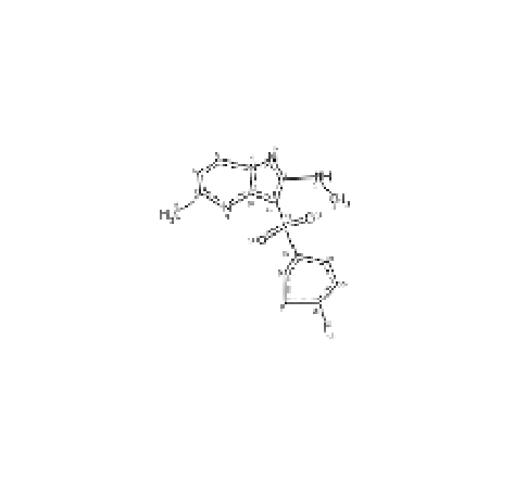 CNc1nn2ccc(C)nc2c1S(=O)(=O)c1ccc(F)cc1